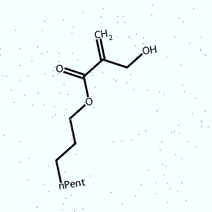 C=C(CO)C(=O)OCCCCCCCC